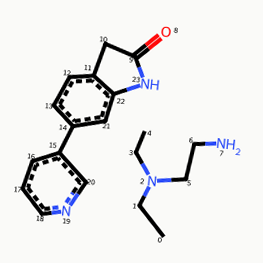 CCN(CC)CCN.O=C1Cc2ccc(-c3cccnc3)cc2N1